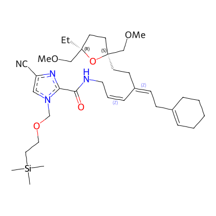 CC[C@]1(COC)CC[C@@](CCC(/C=C\CNC(=O)c2nc(C#N)cn2COCC[Si](C)(C)C)=C/CC2=CCCCC2)(COC)O1